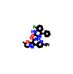 CC(C)c1ccc(-c2nn3c(c2C(=O)N[C@H]2N=C(c4ccccc4)c4cccc(F)c4NC2=O)O[C@H](C)CC3)cn1